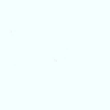 C=CCOc1ccc(Cl)cc1C1c2ccc(F)cc2CCN1C(=O)OCc1ccccc1